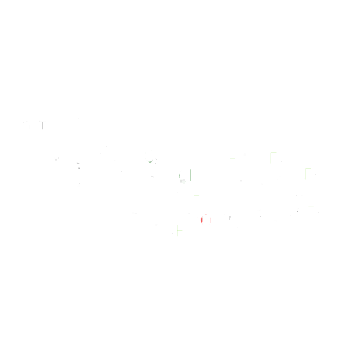 CCCC1CCc2cc(-c3ccc(C(F)(F)Oc4cc(F)c5c(F)c(F)c(F)cc5c4)c(Cl)c3Cl)ccc2C1